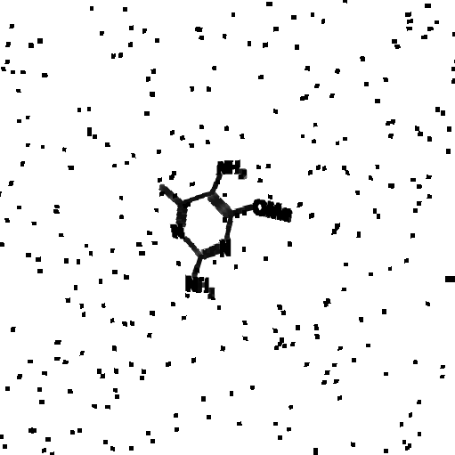 COc1nc(N)nc(C)c1N